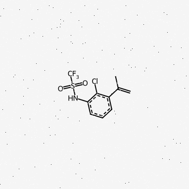 C=C(C)c1cccc(NS(=O)(=O)C(F)(F)F)c1Cl